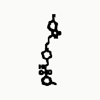 Cc1cccc(S(=O)(=O)NCC2CCN(CCCc3noc4cc(F)ccc34)CC2)c1